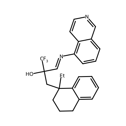 CCC1(CC(O)(C=Nc2cccc3cnccc23)C(F)(F)F)CCCc2ccccc21